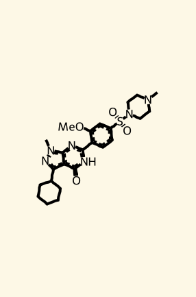 COc1cc(S(=O)(=O)N2CCN(C)CC2)ccc1-c1nc2c(c(C3CCCCC3)nn2C)c(=O)[nH]1